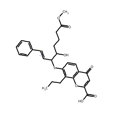 CCCc1c(SC(/C=C/c2ccccc2)C(O)CCCC(=O)OC)ccc2c(=O)cc(C(=O)O)oc12